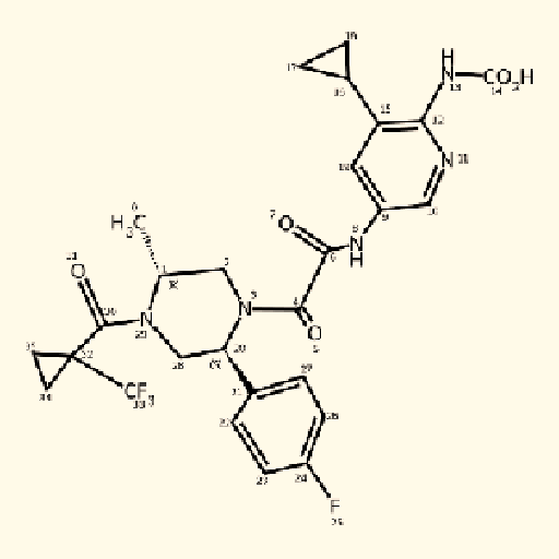 C[C@@H]1CN(C(=O)C(=O)Nc2cnc(NC(=O)O)c(C3CC3)c2)[C@@H](c2ccc(F)cc2)CN1C(=O)C1(C(F)(F)F)CC1